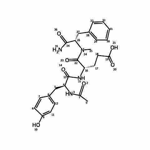 CC(=O)N[C@@H](Cc1ccc(O)cc1)C(=O)N[C@@H](CCC(=O)O)C(=O)N(C)[C@@H](Cc1ccccc1)C(N)=O